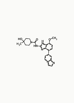 COc1ccc(-c2ccn3ccnc3c2)c2nc(NC(=O)N3CCC(C)(O)CC3)[nH]c12